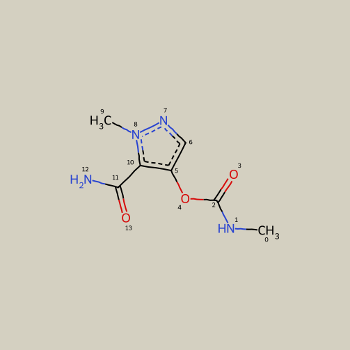 CNC(=O)Oc1cnn(C)c1C(N)=O